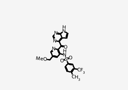 COCc1cnc(C(=O)c2ncnc3[nH]ccc23)c(NS(=O)(=O)c2ccc(C)c(C(F)(F)F)c2)c1